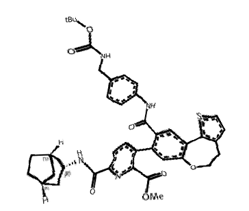 COC(=O)c1nc(C(=O)N[C@@H]2C[C@@H]3CC[C@H]2C3)ccc1-c1cc2c(cc1C(=O)Nc1ccc(CNC(=O)OC(C)(C)C)cc1)-c1sccc1CCO2